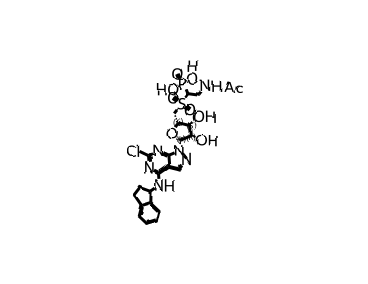 CC(=O)NCC(P(=O)(O)O)S(=O)(=O)C[C@H]1O[C@@H](n2ncc3c(NC4CCc5ccccc54)nc(Cl)nc32)[C@H](O)[C@@H]1O